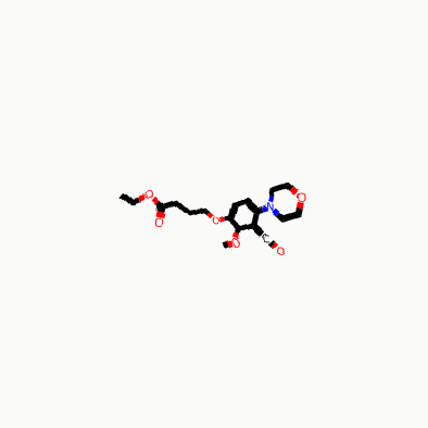 CCOC(=O)CCCOC1=CC=C(N2CCOCC2)C(=C=O)C1OC